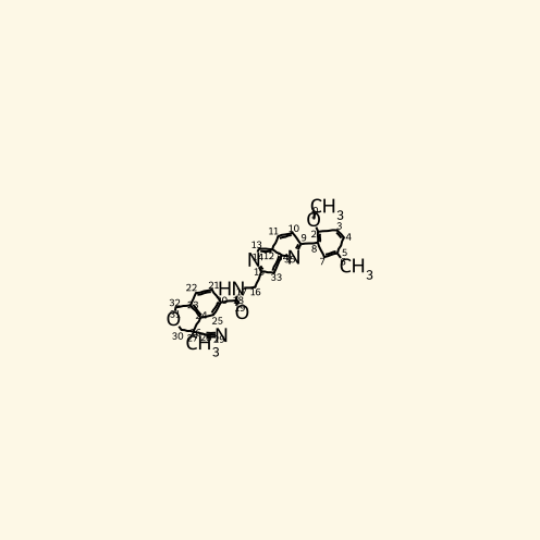 COc1ccc(C)cc1-c1ccc2cnc(CNC(=O)c3ccc4c(c3)[C@](C)(C#N)COC4)cc2n1